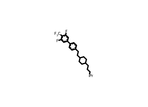 CC(C)CCCC1CCC(CCc2ccc(-c3cc(F)c(C(F)(F)F)c(F)c3)cc2)CC1